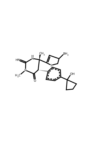 BC1C=C([C@@]2(C)NC(=N)N(C)C(=O)[C@H]2c2ccc(C3(O)CCC3)cc2)SC1